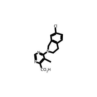 Cc1c(C(=O)O)ncnc1N1CCc2ccc(Cl)cc2C1